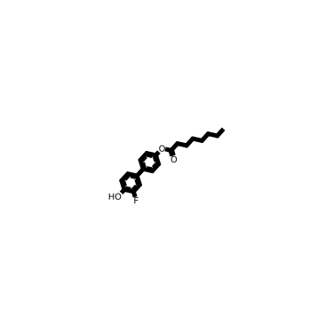 CCCCCCCC(=O)Oc1ccc(-c2ccc(O)c(F)c2)cc1